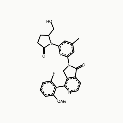 COc1cccc(F)c1-c1nccc2c1CN(c1cc(C)cc(N3C(=O)CCC3CO)n1)C2=O